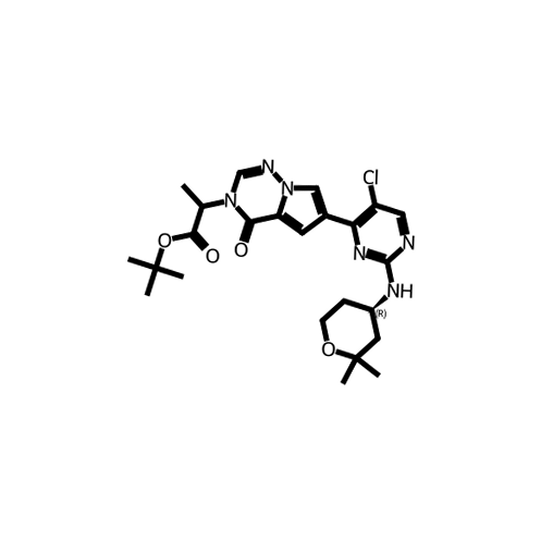 CC(C(=O)OC(C)(C)C)n1cnn2cc(-c3nc(N[C@@H]4CCOC(C)(C)C4)ncc3Cl)cc2c1=O